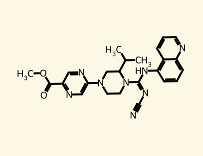 COC(=O)c1cnc(N2CCN(C(=NC#N)Nc3cccc4ncccc34)C(C(C)C)C2)cn1